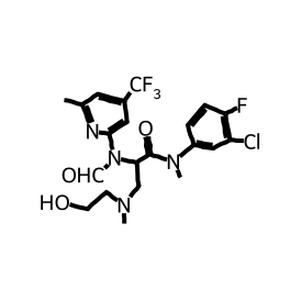 Cc1cc(C(F)(F)F)cc(N(C=O)C(CN(C)CCO)C(=O)N(C)c2ccc(F)c(Cl)c2)n1